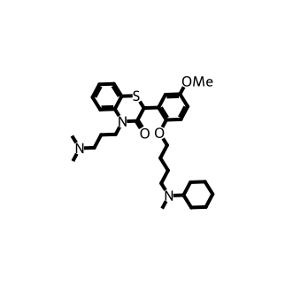 COc1ccc(OCCCCN(C)C2CCCCC2)c(C2Sc3ccccc3N(CCCN(C)C)C2=O)c1